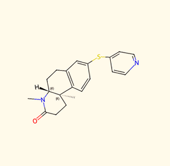 CN1C(=O)CC[C@]2(C)c3ccc(Sc4ccncc4)cc3CC[C@@H]12